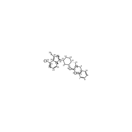 O=C(O)N(Cc1ccccc1)C[C@H]1CC[C@H](c2nc(I)c3c(Cl)nccn32)CC1